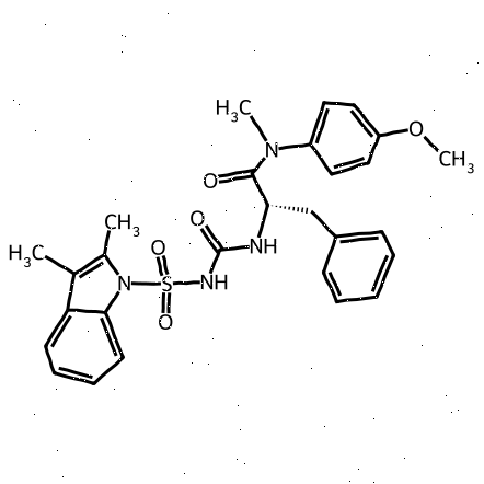 COc1ccc(N(C)C(=O)[C@H](Cc2ccccc2)NC(=O)NS(=O)(=O)n2c(C)c(C)c3ccccc32)cc1